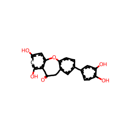 O=C1Cc2cc(-c3ccc(O)c(O)c3)ccc2Oc2cc(O)cc(O)c21